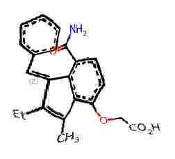 CCC1=C(C)c2c(OC[14C](=O)O)ccc(C(N)=O)c2/C1=C\c1ccccc1